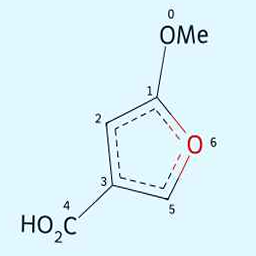 COc1cc(C(=O)O)co1